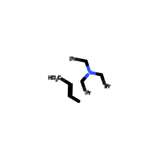 CC(C)CN(CC(C)C)CC(C)C.CC=CC(=O)O